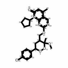 COC1(C)OOC(c2ccc(Cl)cc2)CC1COc1ncc2c(C)cc(=O)n(C3CCCC3)c2n1